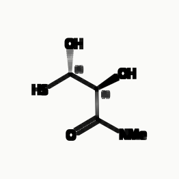 CNC(=O)[C@H](O)[C@@H](O)S